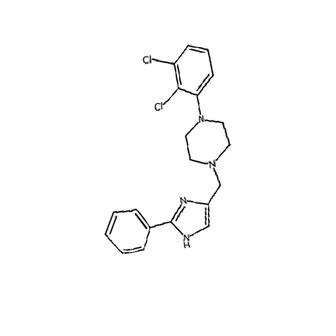 Clc1cccc(N2CCN(Cc3c[nH]c(-c4ccccc4)n3)CC2)c1Cl